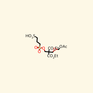 CCOC(=O)C(COCOC(C)=O)(COS(=O)(=O)CCCS(=O)(=O)O)C(=O)OCC